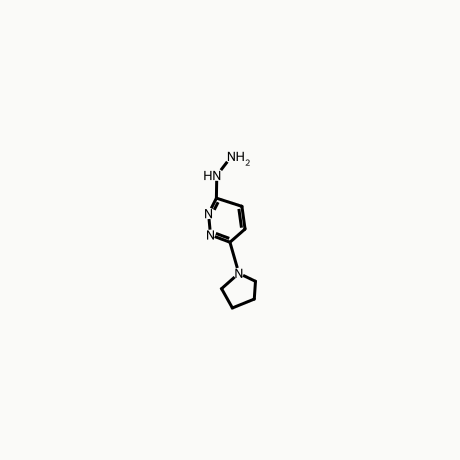 NNc1ccc(N2CCCC2)nn1